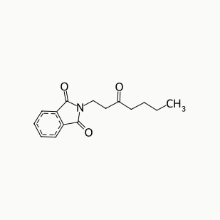 CCCCC(=O)CCN1C(=O)c2ccccc2C1=O